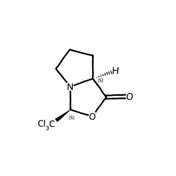 O=C1O[C@@H](C(Cl)(Cl)Cl)N2CCC[C@@H]12